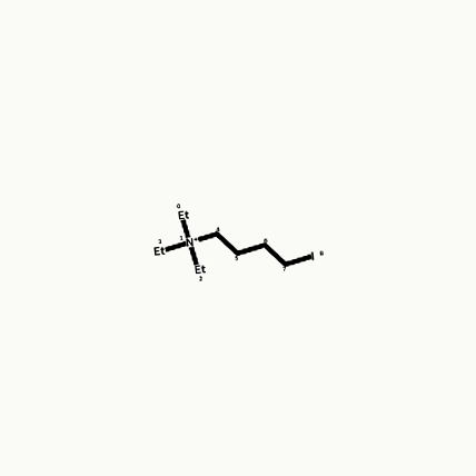 CC[N+](CC)(CC)CCCCI